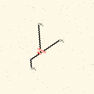 CCCCCCC/C=C\CCCCCCCC(=O)O[C@H](COC(=O)CCCCCCCCCCCCCCCC)COC(=O)CCCCCCCCCCCCCCCCCCCCC